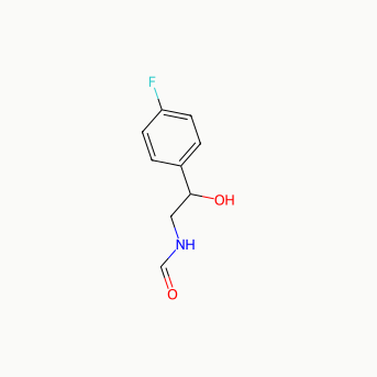 O=CNCC(O)c1ccc(F)cc1